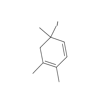 CC1=C(C)CC(C)(I)C=C1